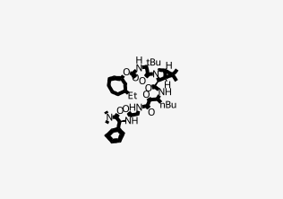 CCCCC(NC(=O)[C@@H]1[C@H]2[C@@H](CN1C(=O)[C@@H](NC(=O)OC1=C=CCCCC(CC)C1)C(C)(C)C)C2(C)C)C(=O)C(=O)NCC(=O)N[C@H](C(=O)N(C)C)c1ccccc1